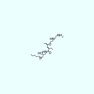 C/C=C(\C=C(/CC)C(=O)NCC(O)CN(C)CCCCC)OCCNCCN